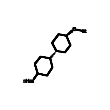 CCCCCCC1CCC([C@H]2CC[C@H](OCC)CC2)CC1